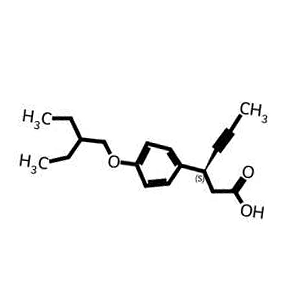 CC#C[C@@H](CC(=O)O)c1ccc(OCC(CC)CC)cc1